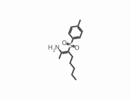 CCCCCC(=C(C)N)S(=O)(=O)c1ccc(C)cc1